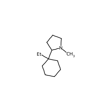 CCC1(C2CCCN2C)CCCCC1